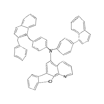 c1ccc(-c2ccc3ccccc3c2-c2ccc(N(c3ccc(-c4cccc5ccccc45)cc3)c3cc4c5ccccc5oc4c4ncccc34)cc2)cc1